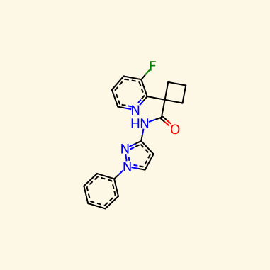 O=C(Nc1ccn(-c2ccccc2)n1)C1(c2ncccc2F)CCC1